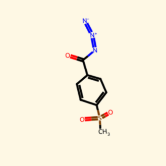 CS(=O)(=O)c1ccc(C(=O)N=[N+]=[N-])cc1